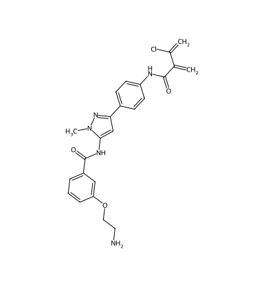 C=C(Cl)C(=C)C(=O)Nc1ccc(-c2cc(NC(=O)c3cccc(OCCN)c3)n(C)n2)cc1